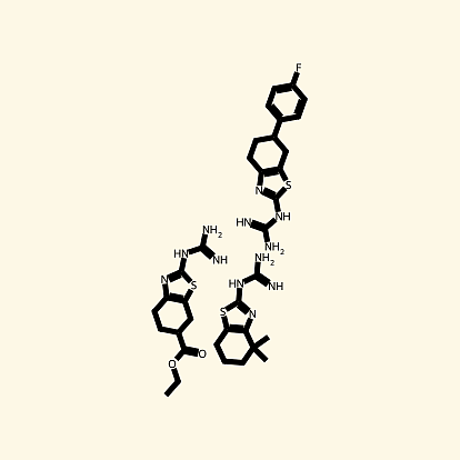 CC1(C)CCCc2sc(NC(=N)N)nc21.CCOC(=O)C1CCc2nc(NC(=N)N)sc2C1.N=C(N)Nc1nc2c(s1)CC(c1ccc(F)cc1)CC2